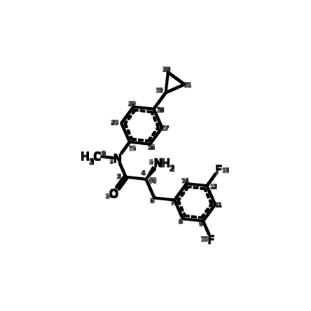 CN(C(=O)[C@@H](N)Cc1cc(F)cc(F)c1)c1ccc(C2CC2)cc1